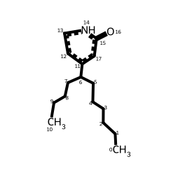 CCCCCCC(CCCC)c1cc[nH]c(=O)c1